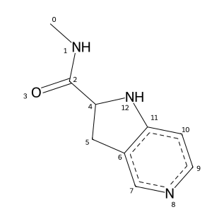 CNC(=O)C1Cc2cnccc2N1